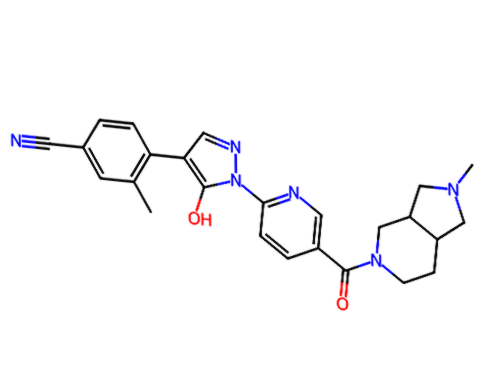 Cc1cc(C#N)ccc1-c1cnn(-c2ccc(C(=O)N3CCC4CN(C)CC4C3)cn2)c1O